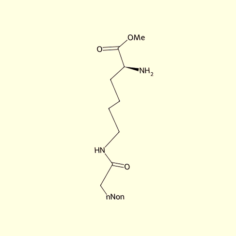 CCCCCCCCCCC(=O)NCCCC[C@H](N)C(=O)OC